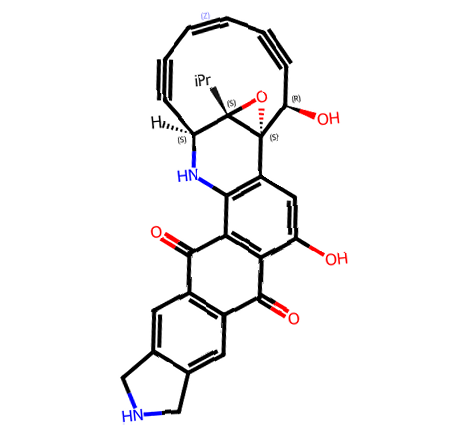 CC(C)[C@@]12O[C@]13c1cc(O)c4c(c1N[C@H]2C#C/C=C\C#C[C@H]3O)C(=O)c1cc2c(cc1C4=O)CNC2